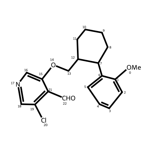 COc1ccccc1C1CCCCC1COc1cncc(Cl)c1C=O